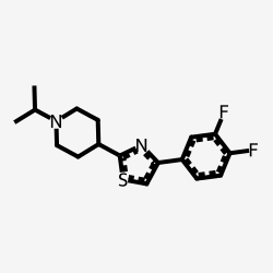 CC(C)N1CCC(c2nc(-c3ccc(F)c(F)c3)cs2)CC1